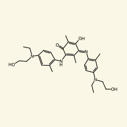 CCN(CCO)c1ccc(/N=C2\C(C)=C(Nc3ccc(N(CC)CCO)cc3C)C(=O)C(C)=C2O)c(C)c1